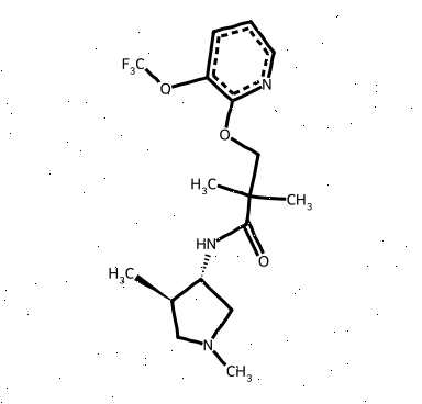 C[C@@H]1CN(C)C[C@H]1NC(=O)C(C)(C)COc1ncccc1OC(F)(F)F